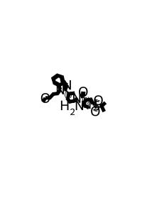 COCCCn1c([C@@H]2CCCN(C(=O)[C@@H]3CN(S(=O)(=O)C(C)C)C[C@H]3N)C2)nc2ccccc21